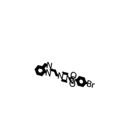 O=S(=O)(c1ccc(Br)cc1)N1CCN(CCc2ncc3ccccc3n2)CC1